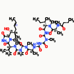 C/C=C/C[C@@H](C)[C@@H](O)[C@@H](C(N)=O)N(C)C(=O)[C@H](C(C)C)N(C)C(=O)N(C)C(=O)N(C)C(=O)[C@H](C)NC(=O)NC(=O)N(C)C(=O)NC(=O)[C@H](C(C)CC)N(C)C(=O)[C@@H](C)N(C)C(=O)CCC